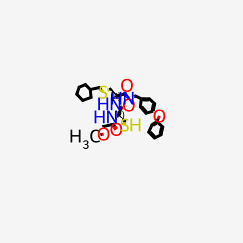 COCC(=O)N[C@@H](CS)C(=O)N[C@@H](CSCC1CCCCC1)C(=O)NCc1ccc(Oc2ccccc2)cc1